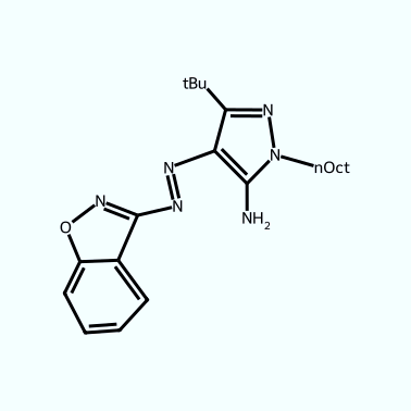 CCCCCCCCn1nc(C(C)(C)C)c(N=Nc2noc3ccccc23)c1N